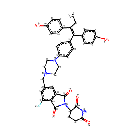 CCC(=C(c1ccc(O)cc1)c1ccc(N2CCN(Cc3cc(F)c4c(c3)C(=O)N(C3CCC(=O)NC3=O)C4=O)CC2)cc1)c1ccc(O)cc1